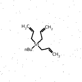 C=C[CH2][Sn]([CH2]C=C)([CH2]C=C)[CH2]CCC